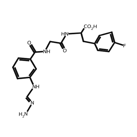 NN=CNc1cccc(C(=O)NCC(=O)NC(Cc2ccc(F)cc2)C(=O)O)c1